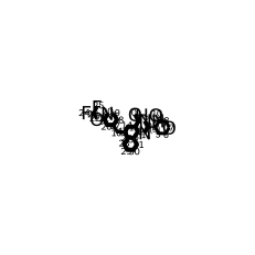 O=c1[nH]c([C@@H]2CCOC[C@@H]2O)nc2c1cc(Cc1ccnc(OC(F)F)c1)c1ccccc12